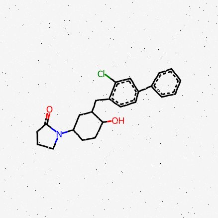 O=C1CCCN1C1CCC(O)C(Cc2ccc(-c3ccccc3)cc2Cl)C1